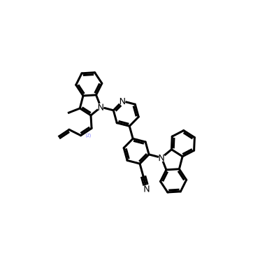 C=C/C=C\c1c(C)c2ccccc2n1-c1cc(-c2ccc(C#N)c(-n3c4ccccc4c4ccccc43)c2)ccn1